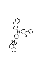 CC(C)(C)c1cc(N(c2ccc(-c3nc4ccc5ccccc5c4o3)cc2)c2ccc3sc4ccccc4c3c2)ccc1-c1ccccc1